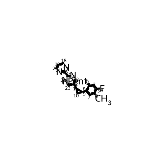 CCCCCc1cc(F)c(C)cc1C1CC1c1cnc(-c2ncccn2)nc1